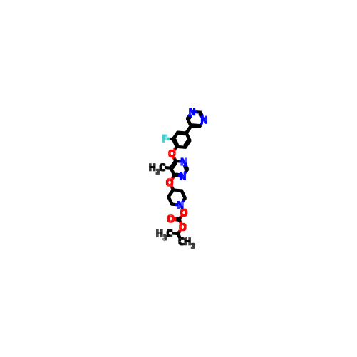 Cc1c(Oc2ccc(-c3cncnc3)cc2F)ncnc1OC1CCN(OC(=O)OC(C)C)CC1